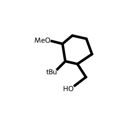 COC1CCCC(CO)C1C(C)(C)C